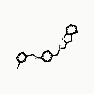 Fc1cccc(COc2ccc(CNCC3Cc4ccccc4O3)cc2)c1